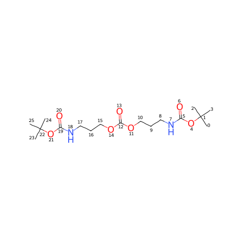 CC(C)(C)OC(=O)NCCCOC(=O)OCCCNC(=O)OC(C)(C)C